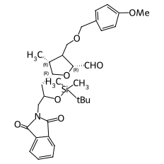 COc1ccc(COCC2[C@H](C=O)O[C@H](CC(CN3C(=O)c4ccccc4C3=O)O[Si](C)(C)C(C)(C)C)[C@@H]2C)cc1